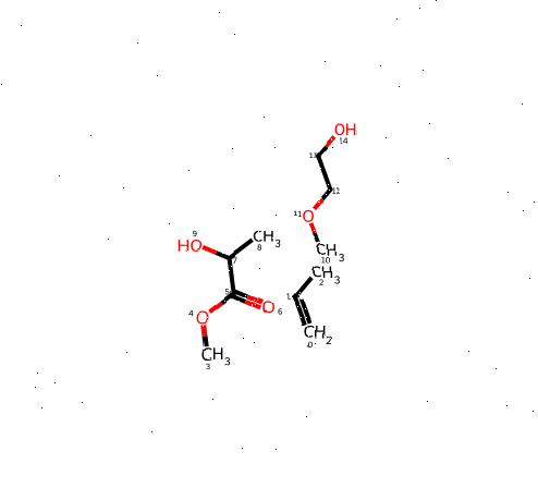 C=CC.COC(=O)C(C)O.COCCO